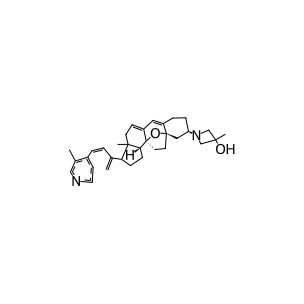 C=C(/C=C\c1ccncc1C)C1CC[C@@H]2C1(C)CC=C1C=C3CC[C@@H](N4CC(C)(O)C4)C[C@]34CC[C@@]12O4